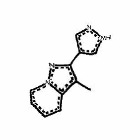 Cc1c(-c2cn[nH]c2)nn2ccccc12